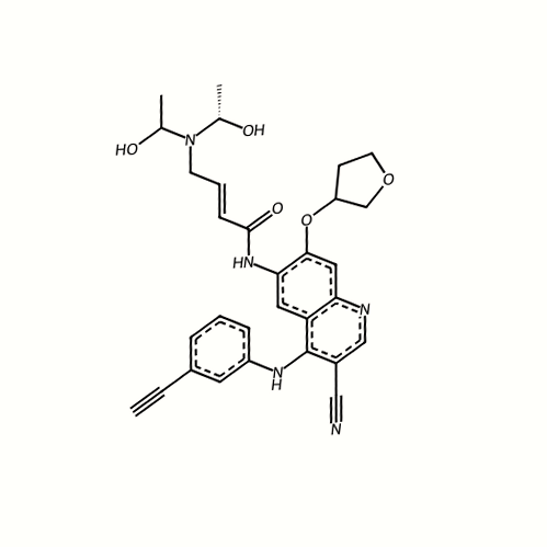 C#Cc1cccc(Nc2c(C#N)cnc3cc(OC4CCOC4)c(NC(=O)/C=C/CN(C(C)O)[C@H](C)O)cc23)c1